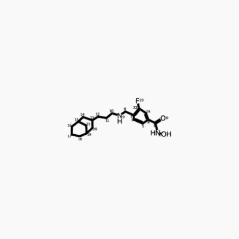 O=C(NO)c1ccc(CNCCCC2CC3CCCC(C2)C3)c(F)c1